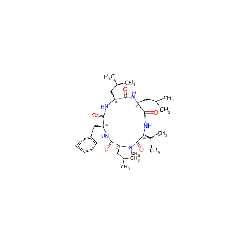 CC(C)C[C@@H]1NC(=O)[C@H](Cc2ccccc2)NC(=O)[C@H](CC(C)C)N(C)C(=O)[C@H](C(C)C)NC(=O)[C@H](CC(C)C)NC1=O